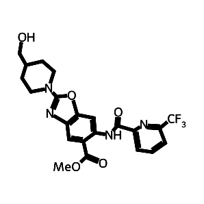 COC(=O)c1cc2nc(N3CCC(CO)CC3)oc2cc1NC(=O)c1cccc(C(F)(F)F)n1